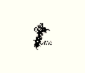 COc1c2cc(C)sc2c(C)c2cc(-c3cc4c(=O)n(C)c(=O)c5cc(C)sc5c4s3)sc12